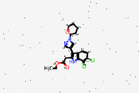 CCOC(=O)Cc1[nH]c2c(Cl)c(Cl)ccc2c1-c1cnn(C2CCCCO2)c1